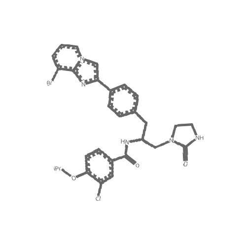 CC(C)Oc1ccc(C(=O)NC(Cc2ccc(-c3cn4cccc(Br)c4n3)cc2)CN2CCNC2=O)cc1Cl